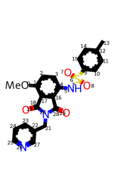 COc1ccc(NS(=O)(=O)c2ccc(C)cc2)c2c1C(=O)N(Cc1cccnc1)C2=O